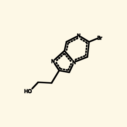 OCCc1cn2cc(Br)ncc2n1